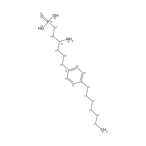 CCCCCCCc1ccc(CCCC(N)CCP(=O)(O)O)cc1